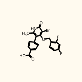 Cc1[nH]c(=O)c(Br)c(OCc2ccc(F)cc2F)c1-c1ccc(C(=O)O)cc1